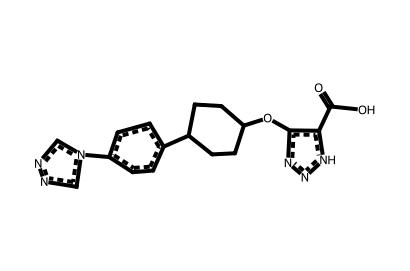 O=C(O)c1[nH]nnc1OC1CCC(c2ccc(-n3cnnc3)cc2)CC1